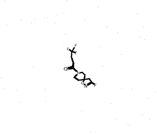 O=C(CCC(F)(F)F)N1CCC2(CC1)CC(F)=NO2